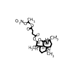 CC(OC(=O)CCC(=O)O[C@H]1O[C@@H]2O[C@@]3(C)CC[C@H]4[C@H](C)CC[C@@H]([C@H]1C)[C@@]24OO3)O[N+](=O)[O-]